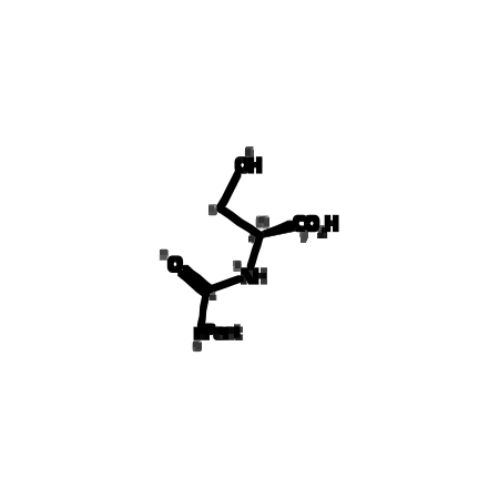 CCCCCC(=O)N[C@@H](CO)C(=O)O